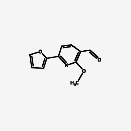 COc1nc(-c2ccco2)ccc1C=O